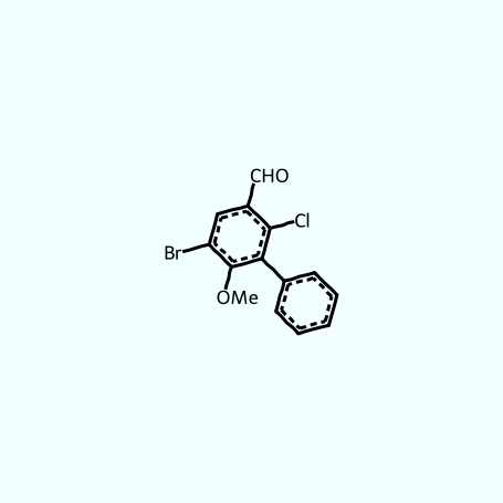 COc1c(Br)cc(C=O)c(Cl)c1-c1ccccc1